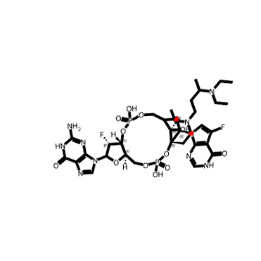 CCN(CCC(C)N(CC)CC)CC[C@]12OP(=O)(O)OC[C@H]3OC(n4cnc5c(=O)[nH]c(N)nc54)[C@H](F)[C@@H]3OP(=O)(O)OCC(O[C@H]1n1cc(F)c3c(=O)[nH]cnc31)[C@H]2O